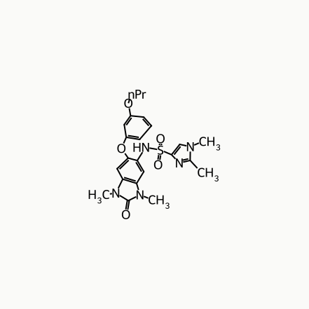 CCCOc1cccc(Oc2cc3c(cc2NS(=O)(=O)c2cn(C)c(C)n2)n(C)c(=O)n3C)c1